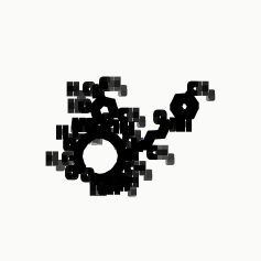 CC[C@H]1OC(=O)[C@H](C)C(=O)[C@H](C)[C@@H](OC2OC(C)CC(N(C)C)C2O)[C@](C)(OC)C[C@@H](C)/C(=N\N=C(/C)CCC(=O)Nc2ccc(C)cc2)[C@H](C)[C@@H](O)[C@]1(C)O